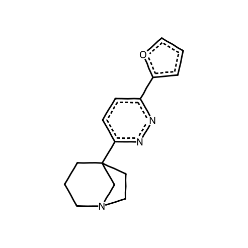 c1coc(-c2ccc(C34CCCN(CC3)C4)nn2)c1